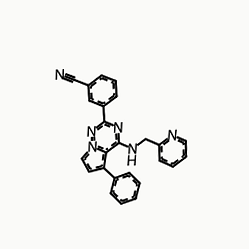 N#Cc1cccc(-c2nc(NCc3ccccn3)c3c(-c4ccccc4)ccn3n2)c1